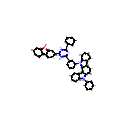 c1ccc(-c2nc(-c3cccc(-n4c5ccccc5c5ccc6c(c7ccccc7n6-c6ccccc6)c54)c3)nc(-c3ccc4c(c3)oc3ccccc34)n2)cc1